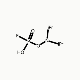 CC(C)N(OP(=O)(O)F)C(C)C